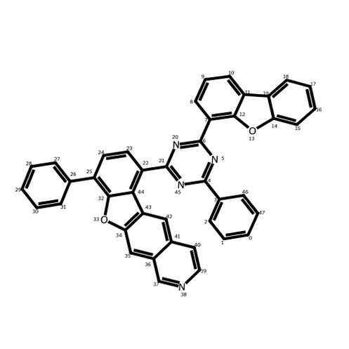 c1ccc(-c2nc(-c3cccc4c3oc3ccccc34)nc(-c3ccc(-c4ccccc4)c4oc5cc6cnccc6cc5c34)n2)cc1